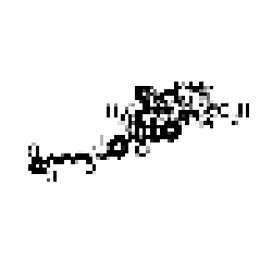 CC[C@H](C)[C@@H]([C@@H](CC(=O)N1CCCC1[C@H](OC)[C@@H](C)C(=O)NC(Cc1ccccc1)C(=O)Nc1ccc(CNC(=O)CCCCCN2C(=O)C=CC2=O)cc1)OC)N(C)C(=O)C(NC(=O)O)C(C)C